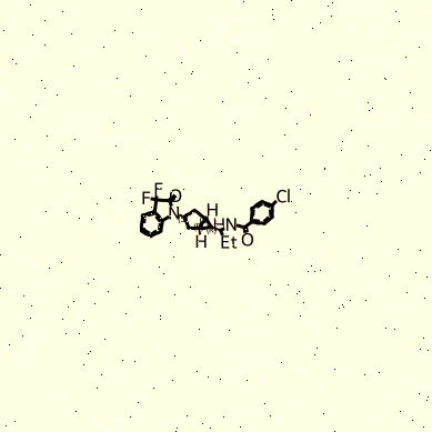 CCC(NC(=O)c1ccc(Cl)cc1)[C@H]1[C@@H]2C[C@@H](N3C(=O)C(F)(F)c4ccccc43)C[C@@H]21